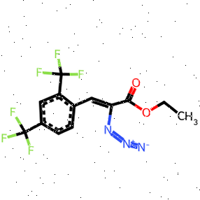 CCOC(=O)C(=Cc1ccc(C(F)(F)F)cc1C(F)(F)F)N=[N+]=[N-]